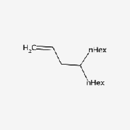 C=CCC(CCCCCC)CCCCCC